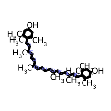 CC1=C(/C=C/C(C)=C/C=C/C(C)=C\C=C\C=C(C)\C=C\C=C(C)\C=C\C2=C(C)C[C@H](O)CC2(C)C)C(C)(C)C[C@H](O)C1